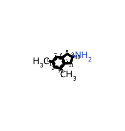 Cc1cc(C)c2c(c1)CC(N)C2